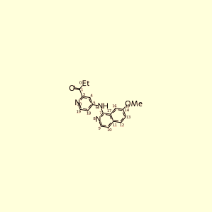 CCC(=O)c1cc(Nc2nccc3ccc(OC)cc23)ccn1